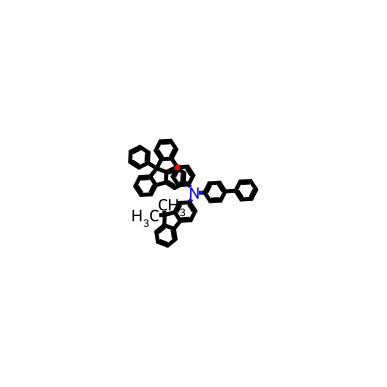 CC1(C)c2ccccc2-c2ccc(N(c3ccc(-c4ccccc4)cc3)c3ccc(-c4ccccc4C4(c5ccccc5)c5ccccc5-c5ccccc54)cc3)cc21